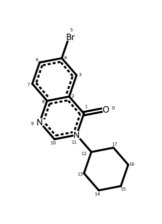 O=c1c2cc(Br)ccc2ncn1C1CCCCC1